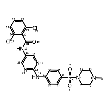 CN1CCN(S(=O)(=O)c2ccc(Nc3ncc(NC(=O)c4c(Cl)cccc4Cl)cn3)cc2)CC1